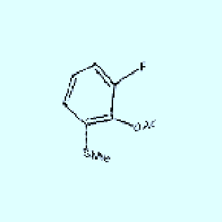 CSc1cccc(F)c1OC(C)=O